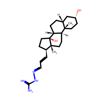 C[C@]12CC[C@@H](O)C[C@H]1CC[C@@H]1[C@@H]2CC[C@]2(C)[C@@H](/C=C/C=N/NC(=N)N)CC[C@]12O